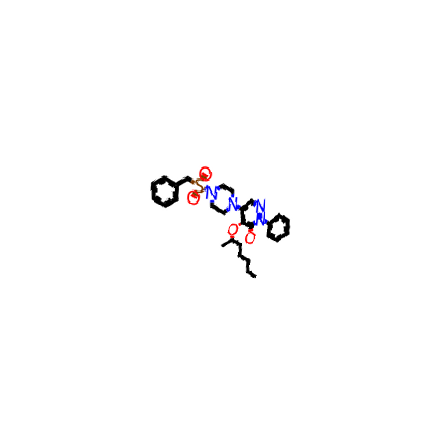 CCCCCC(C)Oc1c(N2CCN(S(=O)(=O)Cc3ccccc3)CC2)cnn(-c2ccccc2)c1=O